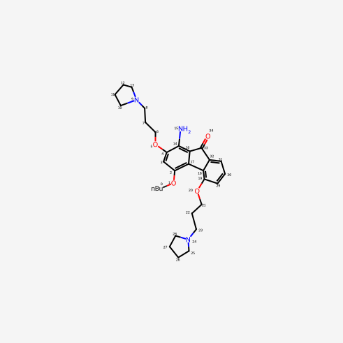 CCCCOc1cc(OCCCN2CCCC2)c(N)c2c1-c1c(OCCCN3CCCC3)cccc1C2=O